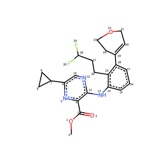 COC(=O)c1nc(C2CC2)cnc1Nc1cccc(C2=CCOCC2)c1CCC(F)F